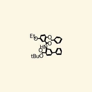 CCOc1ccc(OCc2ccccc2)c(C(=O)Nc2cc(-c3ccccc3)ccc2C(=O)OC(C)(C)C)c1